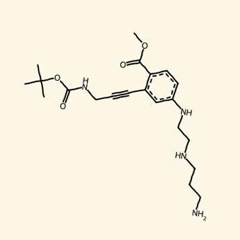 COC(=O)c1ccc(NCCNCCCN)cc1C#CCNC(=O)OC(C)(C)C